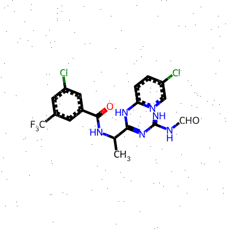 CC(NC(=O)c1cc(Cl)cc(C(F)(F)F)c1)/C(=N/C(=N)NC=O)Nc1ccc(Cl)cn1